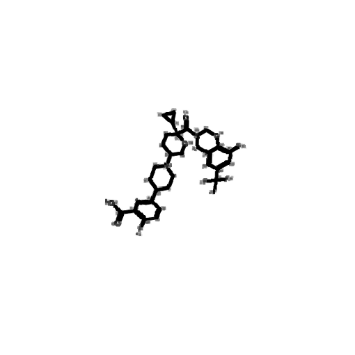 O=C(O)c1cc(C2CCN(C3CC[C@@](C(=O)N4COc5c(F)cc(C(F)(F)F)cc5C4)(C4CC4)OC3)CC2)ccc1F